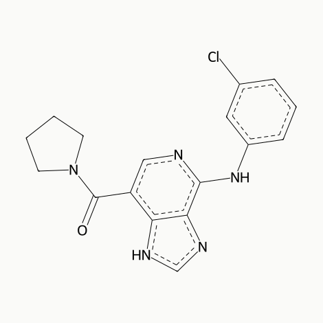 O=C(c1cnc(Nc2cccc(Cl)c2)c2nc[nH]c12)N1CCCC1